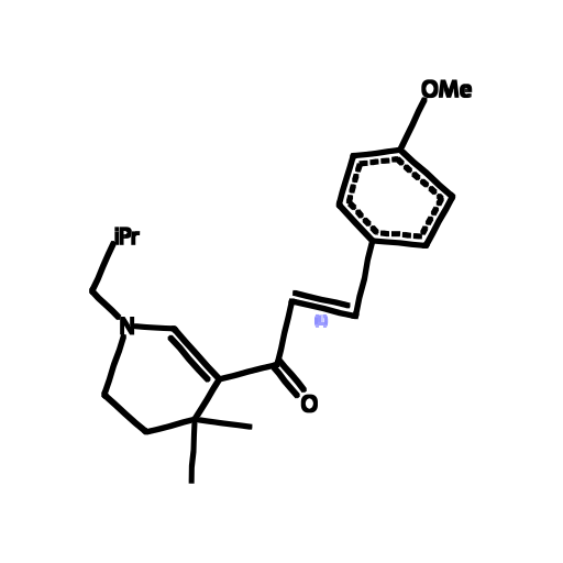 COc1ccc(/C=C/C(=O)C2=CN(CC(C)C)CCC2(C)C)cc1